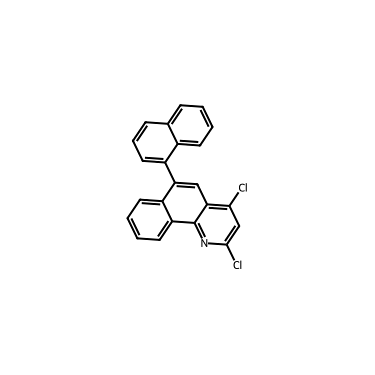 Clc1cc(Cl)c2cc(-c3cccc4ccccc34)c3ccccc3c2n1